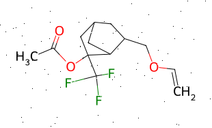 C=COCC1CC2CC1C(OC(C)=O)(C(F)(F)F)C2